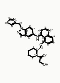 O=C(CO)N1CCCC[C@@H]1COc1cccc2ncnc(Nc3ccc4c(cnn4Cc4cscn4)c3)c12